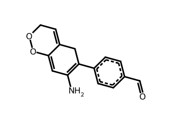 NC1=C(c2ccc(C=O)cc2)CC2=CCOOC2=C1